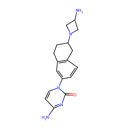 Nc1ccn(-c2ccc3c(c2)CCC(N2CC(N)C2)C3)c(=O)n1